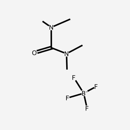 CN(C)C(=O)N(C)C.F[B-](F)(F)F